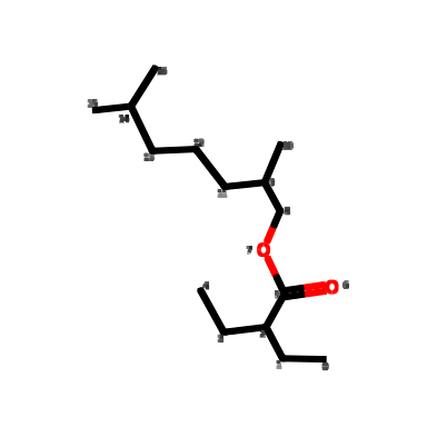 CCC(CC)C(=O)OCC(C)CCCC(C)C